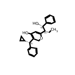 CC[C@H](C1=CC(O)=C([C@H](c2ccccc2)C2CC2)CO1)[C@H](O)c1ccccc1